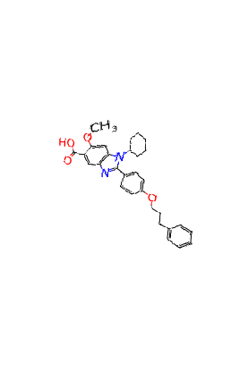 COc1cc2c(cc1C(=O)O)nc(-c1ccc(OCCCc3ccccc3)cc1)n2C1CCCCC1